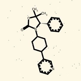 CC1(C)OC(=O)N(C2CCC(c3cccnc3)CC2)[C@H]1c1ccccc1